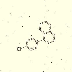 Clc1ccc(-c2cccc3ccccc23)cc1